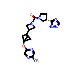 O=C(N1CC(C23CC(Oc4cnc(C(F)(F)F)cn4)(C2)C3)C1)N1CC[C@H](c2ncn[nH]2)C1